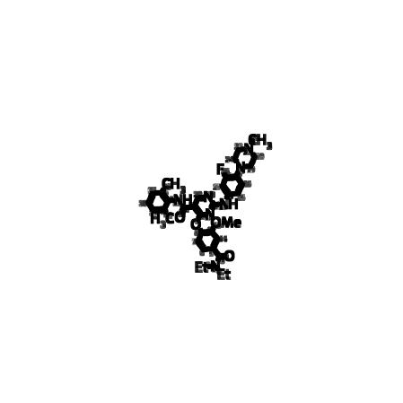 CCN(CC)C(=O)c1ccc(Oc2nc(Nc3ccc(N4CCN(C)CC4)c(F)c3)ncc2C(=O)Nc2c(C)cccc2C)c(OC)c1